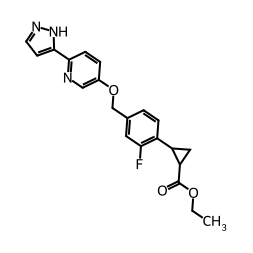 CCOC(=O)C1CC1c1ccc(COc2ccc(-c3ccn[nH]3)nc2)cc1F